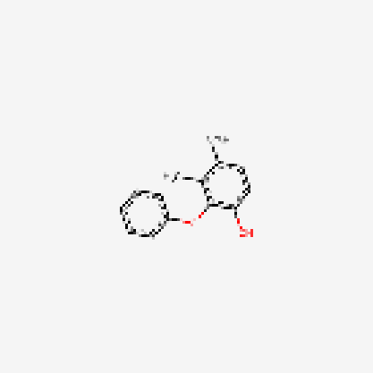 COc1ccc(O)c(Oc2ccccc2)c1C